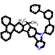 CC1(C)c2cc3c4ccccc4c4ccccc4c3cc2-c2cc3c4cnccc4n(-c4cccc(-c5cccc(-c6ccccc6)c5)c4)c3cc21